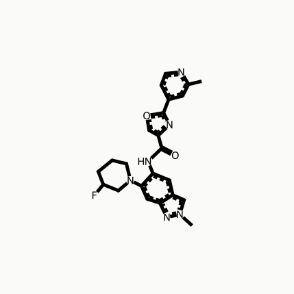 Cc1cc(-c2nc(C(=O)Nc3cc4cn(C)nc4cc3N3CCCC(F)C3)co2)ccn1